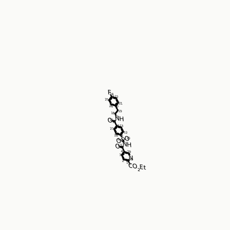 CCOC(=O)c1ccc(C(=O)NS(=O)(=O)c2ccc(C(=O)NCCc3ccc(F)cc3)cc2)cn1